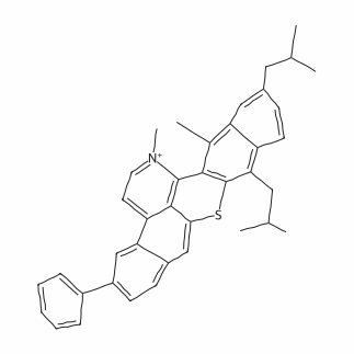 Cc1c2c(c(CC(C)C)c3ccc(CC(C)C)cc13)Sc1cc3ccc(-c4ccccc4)cc3c3cc[n+](C)c-2c13